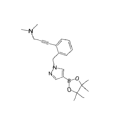 CN(C)CC#Cc1ccccc1Cn1cc(B2OC(C)(C)C(C)(C)O2)cn1